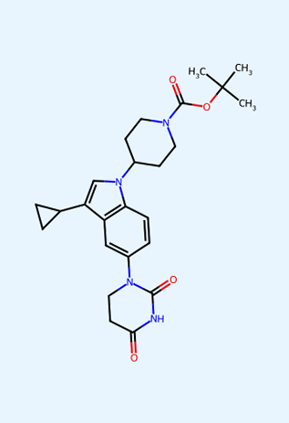 CC(C)(C)OC(=O)N1CCC(n2cc(C3CC3)c3cc(N4CCC(=O)NC4=O)ccc32)CC1